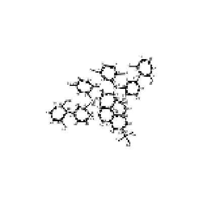 Cc1ccc(C)c(N(c2cc(-c3c(C)cccc3C)ccc2C)c2cc(N(c3cc(C)ccc3C)c3cc(-c4c(C)cccc4C)ccc3C)c3ccc4cc(C(C)(C)C)cc5ccc2c3c54)c1